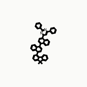 CC1(C)c2ccccc2-c2c(-c3ccc(-c4ccc(-c5cc(-c6ccccc6)nc(-c6ccccc6)n5)c5ccccc45)c4ccccc34)cccc21